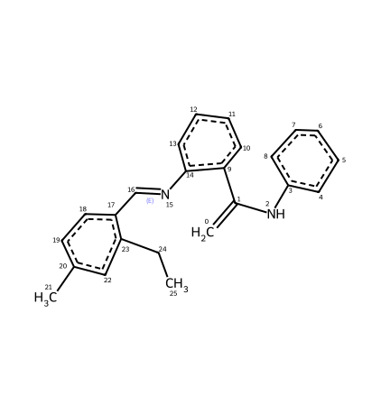 C=C(Nc1ccccc1)c1ccccc1/N=C/c1ccc(C)cc1CC